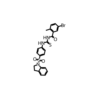 Cc1ccc(Br)cc1C(=O)NC(=S)Nc1ccc(S(=O)(=O)N2CCc3ccccc32)cc1